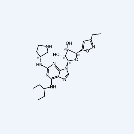 CCc1cc([C@H]2O[C@@H](n3cnc4c(NC(CC)CC)nc(N[C@@H]5CCNC5)nc43)[C@H](O)[C@@H]2O)on1